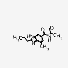 CCCc1nc2c(C)cc(C(=O)NC(C)C=O)cc2[nH]1